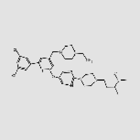 CC(CCN1CCN(c2ncc(Oc3cc(CN4CCC(CN)CC4)cc(-c4cc(Cl)cc(Cl)c4)n3)cn2)CC1)[S+](C)[O-]